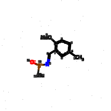 COc1ccc(C)cc1/C=N/[S+]([O-])C(C)(C)C